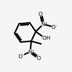 CC1([N+](=O)[O-])C=CC=CC1(O)[N+](=O)[O-]